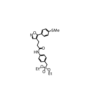 CCOP(=O)(Cc1ccc(NC(=O)CCc2cnoc2-c2ccc(SC)cc2)cc1)OCC